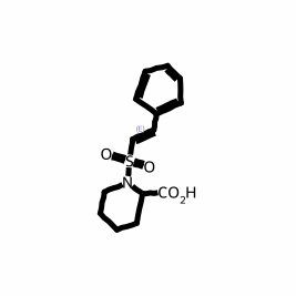 O=C(O)C1CCCCN1S(=O)(=O)/C=C/c1ccccc1